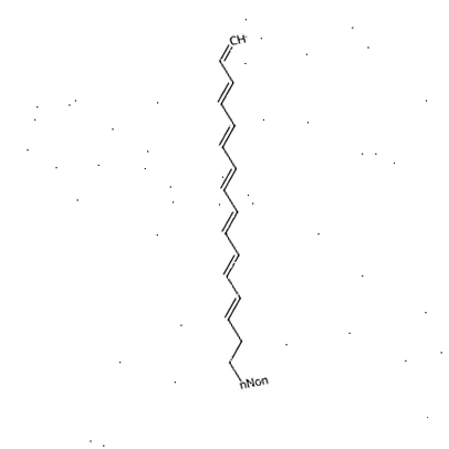 [CH]=C/C=C/C=C/C=C/C=C/C=C/C=C/CCCCCCCCCCC